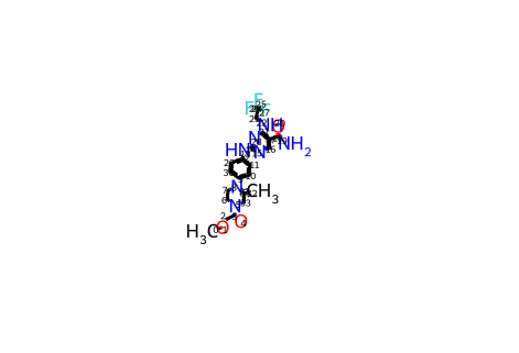 COCC(=O)N1CCN(c2ccc(Nc3ncc(C(N)=O)c(NCC(F)(F)F)n3)cc2)[C@@H](C)C1